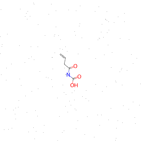 C=CCC(=O)[N]C(=O)O